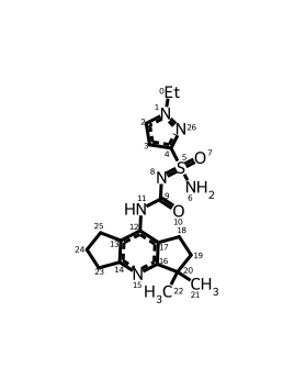 CCn1ccc(S(N)(=O)=NC(=O)Nc2c3c(nc4c2CCC4(C)C)CCC3)n1